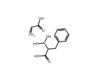 C=CC(=O)O.O=C(O)C(Cc1ccccc1)N(O)O